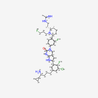 CC(=N)NCC[C@@H]1CCC[C@@H](c2ccc(-n3cc4cc(-c5cc(CCCC(N)C6CC6)cc(Cl)c5F)[nH]c4nc3=O)cc2F)N1CCCF